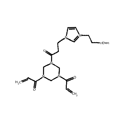 C=CC(=O)N1CN(C(=O)C=C)CN(C(=O)CCn2cc[n+](CCCCCCCCCCCC)c2)C1